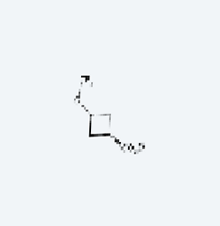 CCOC(=O)[C@H]1C[C@H](OC(F)(F)F)C1